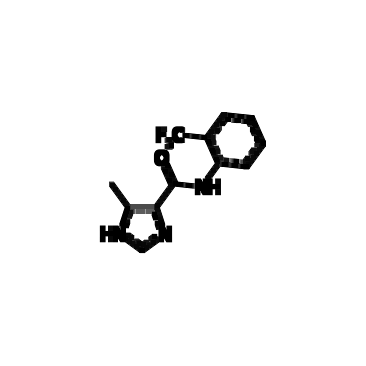 Cc1[nH]cnc1C(=O)Nc1ccccc1C(F)(F)F